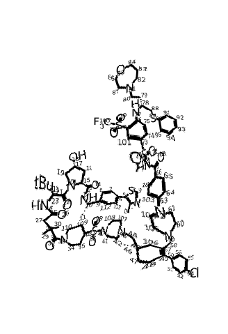 Cc1ncsc1-c1ccc([C@H](C)NC(=O)[C@@H]2C[C@@H](O)CN2C(=O)[C@@H](NC(=O)CC(C)(C)C(=O)N2CCC(S(=O)(=O)N3CCN(C[C@]4(C)CCC(c5ccc(Cl)cc5)=C(CN5CCN(c6ccc(C(=O)NS(=O)(=O)c7ccc(N[C@H](CCN8CCCOCC8)CSc8ccccc8)c(S(=O)(=O)C(F)(F)F)c7)cc6)CC5)C4)CC3)CC2)C(C)(C)C)cc1